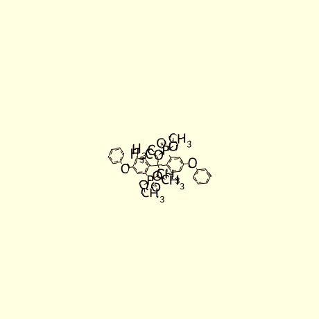 CCC(C)(c1ccc(Oc2ccccc2)cc1P(=O)(OC)OC)c1ccc(Oc2ccccc2)cc1P(=O)(OC)OC